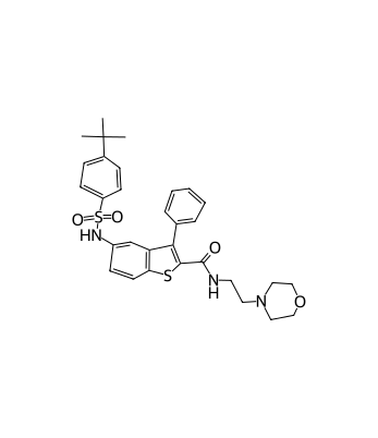 CC(C)(C)c1ccc(S(=O)(=O)Nc2ccc3sc(C(=O)NCCN4CCOCC4)c(-c4ccccc4)c3c2)cc1